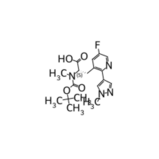 CN(C(=O)OC(C)(C)C)[C@@H](Cc1cc(F)cnc1-c1cnn(C)c1)C(=O)O